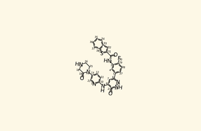 O=C(Nc1cc(-c2cc(Nc3ccc(N4CCNCC4=O)cn3)c(=O)[nH]n2)ccc1F)c1cc2ccccc2s1